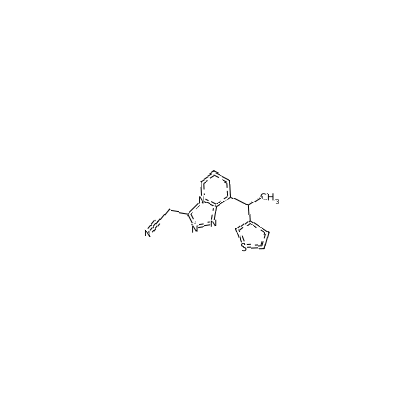 CC(c1ccsc1)c1cccn2c(CC#N)nnc12